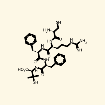 CC(C)(S)[C@H](NC(=O)[C@H](Cc1ccccc1)NC(=O)[C@H](Cc1ccccc1)NC(=O)[C@H](CCCNC(=N)N)NC(=O)[C@H](N)CS)C(=O)O